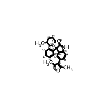 Cc1noc(C)c1-c1ccc2c(c1)C(c1ccccc1)(N1CCC[C@@H](C)C1)C(=O)N2